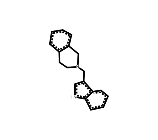 c1ccc2c(c1)CCN(Cc1c[nH]c3ccccc13)C2